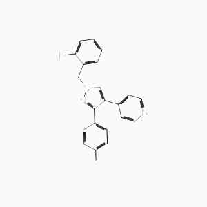 Fc1ccc(-c2nn(Cc3ccccc3F)cc2-c2ccncc2)cc1